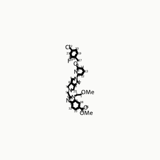 COCCn1c(CN2Cc3cn(-c4cccc(OCc5ccc(Cl)cc5F)n4)nc3C2)nc2ccc(C(=O)OC)cc21